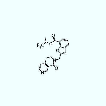 CC(OC(=O)c1cccc2cc(CN3CCc4ccncc4C3=O)oc12)C(F)(F)F